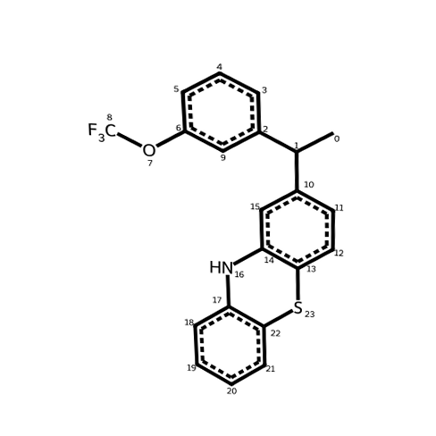 CC(c1cccc(OC(F)(F)F)c1)c1ccc2c(c1)Nc1ccccc1S2